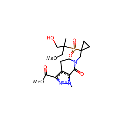 COCC(C)(CO)S(=O)(=O)C1(CN2CCc3c(C(=O)OC)nn(C)c3C2=O)CC1